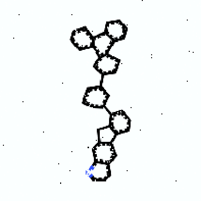 c1cc(-c2ccc3c4ccccc4c4ccccc4c3c2)cc(-c2cccc3c2Cc2cc4ncccc4cc2-3)c1